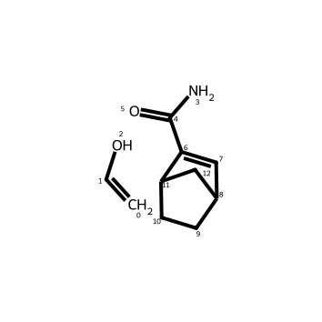 C=CO.NC(=O)C1=CC2CCC1C2